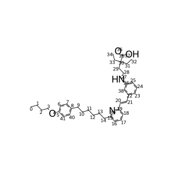 CCCCOc1ccc(CCCCCCc2cccc(C=Cc3cccc(NCCC(CC)(CC)C(=O)O)c3)n2)cc1